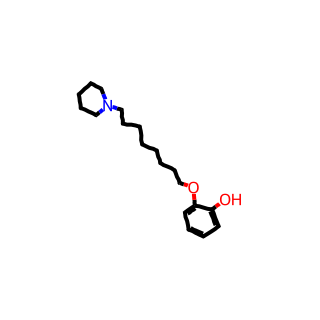 Oc1ccccc1OCCCCCCCCN1CCCCC1